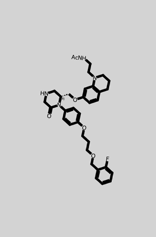 CC(=O)NCCN1CCCc2ccc(OC[C@H]3CNCC(=O)N3c3ccc(OCCCOCc4ccccc4F)cc3)cc21